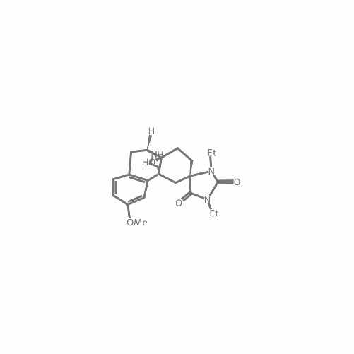 CCN1C(=O)N(CC)[C@]2(CC[C@@]3(O)[C@H]4Cc5ccc(OC)cc5[C@@]3(CCN4)C2)C1=O